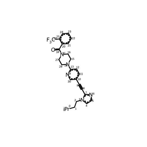 CC(C)CCn1ccnc1C#Cc1ccc(N2CCN(C(=O)c3ccccc3C(F)(F)F)CC2)nc1